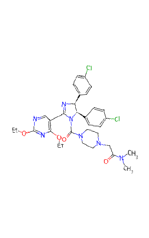 CCOc1ncc(C2=N[C@@H](c3ccc(Cl)cc3)[C@@H](c3ccc(Cl)cc3)N2C(=O)N2CCN(CC(=O)N(C)C)CC2)c(OCC)n1